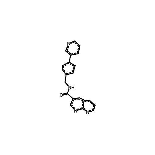 O=C(NCc1ccc(-c2cccnc2)cc1)c1cnc2ncccc2c1